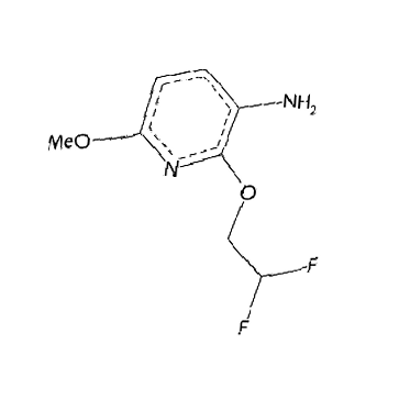 COc1ccc(N)c(OCC(F)F)n1